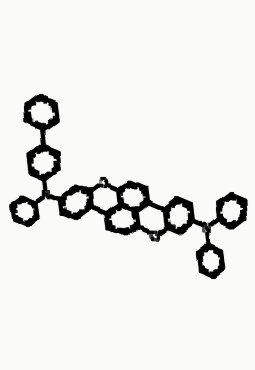 c1ccc(-c2ccc(N(c3ccccc3)c3ccc4c(c3)Oc3ccc5c6c(ccc-4c36)Oc3cc(N(c4ccccc4)c4ccccc4)ccc3-5)cc2)cc1